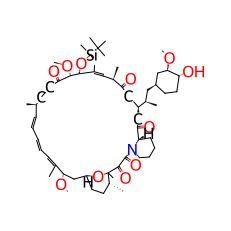 CO[C@H]1C[C@@H]2CC[C@@H](C)C(C)(O2)C(=O)C(=O)N2CCCC[C@H]2C(=O)C[C@H]([C@H](C)C[C@@H]2CC[C@@H](O)[C@H](OC)C2)CC(=O)[C@H](C)/C=C(\C)C(O[Si](C)(C)C(C)(C)C)[C@@H](OC)C(=O)CC[C@H](C)/C=C/C=C/C=C/1C